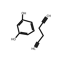 C#CCCC#C.Oc1cccc(O)c1